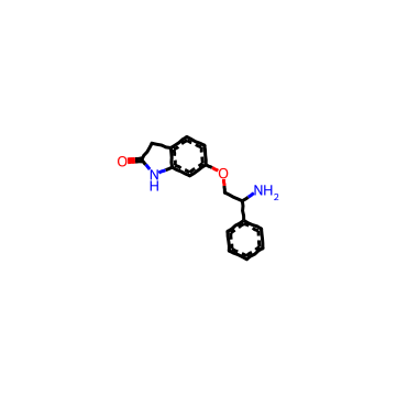 NC(COc1ccc2c(c1)NC(=O)C2)c1ccccc1